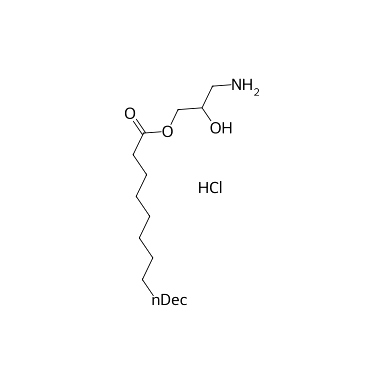 CCCCCCCCCCCCCCCCCC(=O)OCC(O)CN.Cl